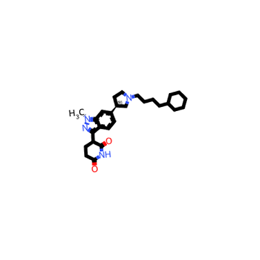 Cn1nc(C2CCC(=O)NC2=O)c2ccc([C@H]3CCN(CCCCC4CCCCC4)C3)cc21